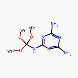 CCCOC(Nc1nc(N)nc(N)n1)(OCCC)OCCC